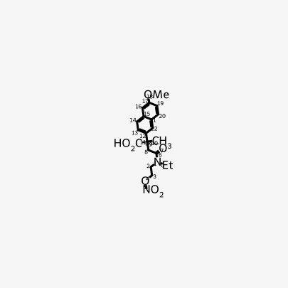 CCN(CCO[N+](=O)[O-])C(=O)C[C@](C)(C(=O)O)c1ccc2cc(OC)ccc2c1